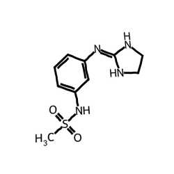 CS(=O)(=O)Nc1cccc(N=C2NCCN2)c1